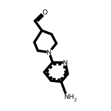 Nc1ccc(N2CCC(C=O)CC2)nc1